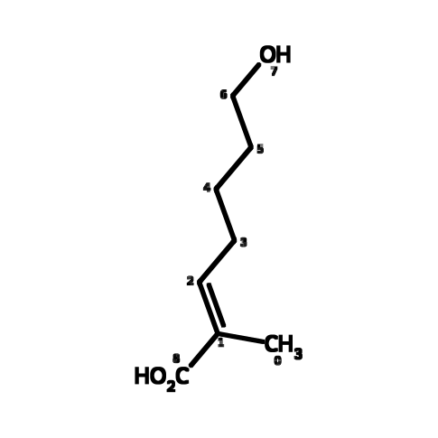 CC(=CCCCCO)C(=O)O